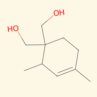 CC1=CC(C)C(CO)(CO)CC1